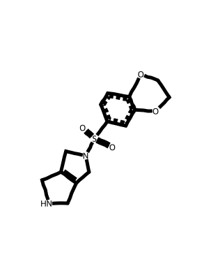 O=S(=O)(c1ccc2c(c1)OCCO2)N1CC2=C(CNC2)C1